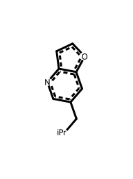 CC(C)Cc1cnc2ccoc2c1